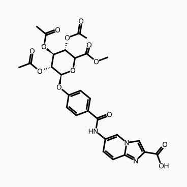 COC(=O)C1O[C@@H](Oc2ccc(C(=O)Nc3ccc4nc(C(=O)O)cn4c3)cc2)[C@H](OC(C)=O)[C@@H](OC(C)=O)[C@@H]1OC(C)=O